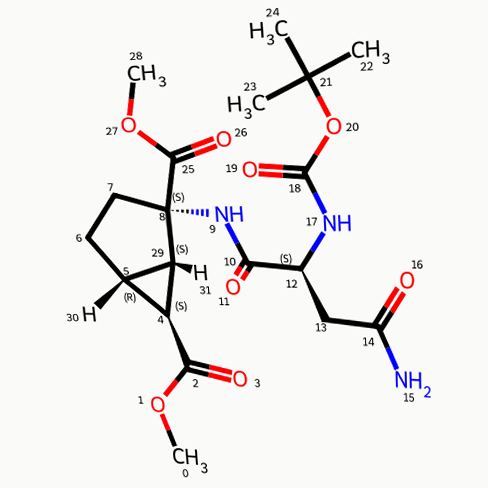 COC(=O)[C@H]1[C@@H]2CC[C@@](NC(=O)[C@H](CC(N)=O)NC(=O)OC(C)(C)C)(C(=O)OC)[C@@H]21